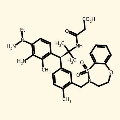 CCN(N)c1ccc([C@H](c2ccc(C)c(CN3CCOc4ccccc4S3(=O)=O)c2)C(C)(C)NC(=O)CC(=O)O)c(C)c1N